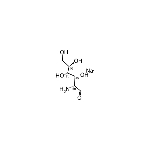 N[C@@H](C=O)[C@@H](O)[C@H](O)[C@H](O)CO.[Na]